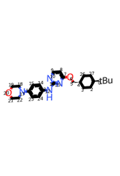 CC(C)(C)[C@H]1CC[C@H](COc2ccnc(Nc3ccc(N4CCOCC4)cc3)n2)CC1